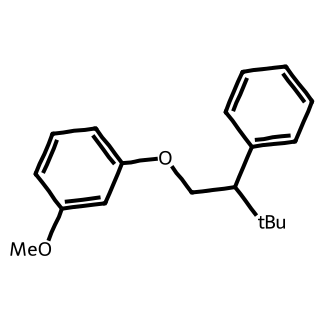 COc1cccc(OCC(c2ccccc2)C(C)(C)C)c1